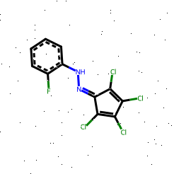 Fc1ccccc1NN=C1C(Cl)=C(Cl)C(Cl)=C1Cl